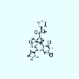 O=C(NN1CCCCC1)c1nn(-c2ccc(Cl)cc2Cl)c2c1COC/C2=C\c1cccs1